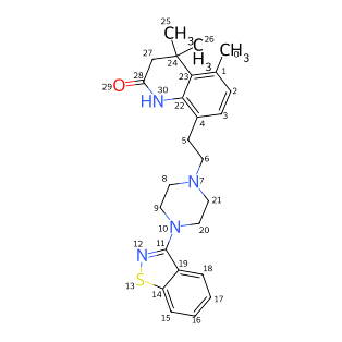 Cc1ccc(CCN2CCN(c3nsc4ccccc34)CC2)c2c1C(C)(C)CC(=O)N2